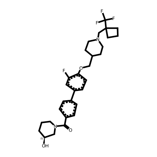 O=C(c1ccc(-c2ccc(OCC3CCN(CC4(C(F)(F)F)CCC4)CC3)c(F)c2)cc1)N1CCC[C@H](O)C1